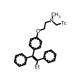 CC/C(=C(\c1ccccc1)c1ccc(OCCN(C)[CH2][Tc])cc1)c1ccccc1